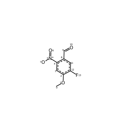 COc1cc([N+](=O)[O-])c(C=O)cc1F